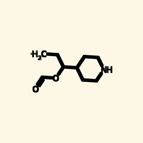 [CH2]CC(OC=O)C1CCNCC1